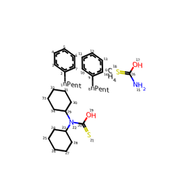 C.CCCCCc1ccccc1.CCCCCc1ccccc1.NC(O)=S.OC(=S)N(C1CCCCC1)C1CCCCC1